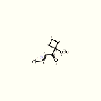 CCCCC1(C(=O)/C=C/Cl)CCC1